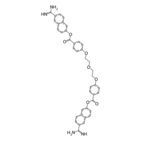 N=C(N)c1ccc2cc(OC(=O)c3ccc(OCCOCCOc4ccc(C(=O)Oc5ccc6cc(C(=N)N)ccc6c5)cc4)cc3)ccc2c1